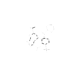 CC(C)c1nnc2[nH]c(C(=O)O)cc(-c3cc(C(F)(F)F)ccc3N(C)C3CCOCC3)c1-2